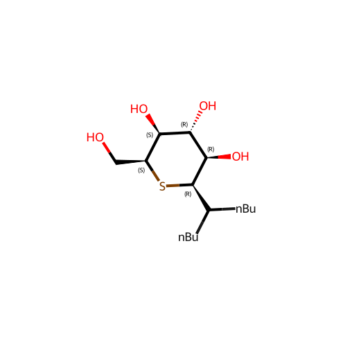 CCCCC(CCCC)[C@H]1S[C@@H](CO)[C@@H](O)[C@H](O)[C@H]1O